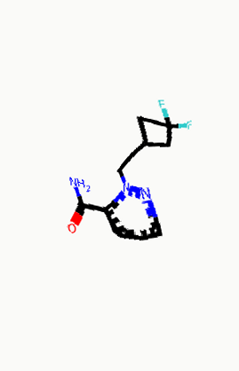 NC(=O)c1ccnn1CC1CC(F)(F)C1